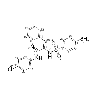 Bc1ccc(S(=O)(=O)Nc2nc3ccccc3nc2Nc2ccc(Cl)cc2)cc1